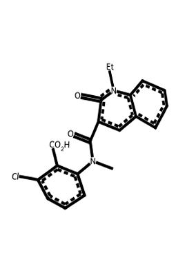 CCn1c(=O)c(C(=O)N(C)c2cccc(Cl)c2C(=O)O)cc2ccccc21